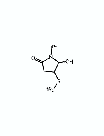 CC(C)N1C(=O)CC(SC(C)(C)C)C1O